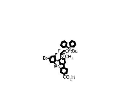 C[C@@H]1Cc2c([nH]c3cc(C(=O)O)ccc23)[C@@H](c2c(F)cc(Br)cc2F)N1CC(F)(F)CO[Si](c1ccccc1)(c1ccccc1)C(C)(C)C